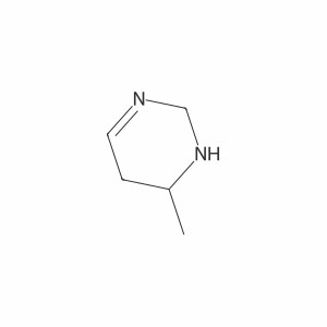 CC1CC=NCN1